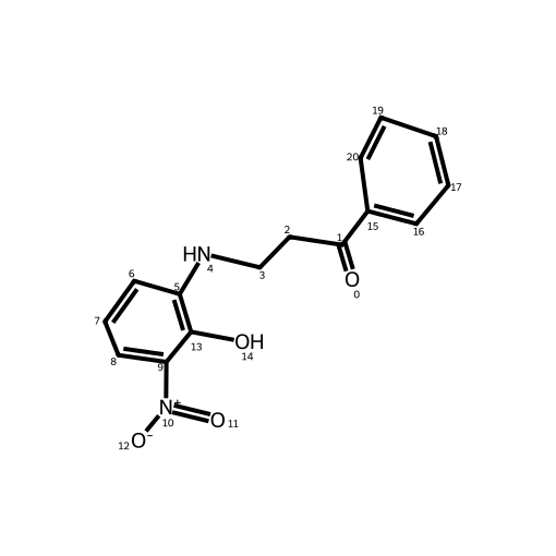 O=C(CCNc1cccc([N+](=O)[O-])c1O)c1ccccc1